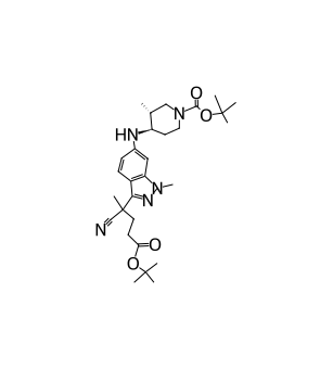 C[C@@H]1CN(C(=O)OC(C)(C)C)CC[C@H]1Nc1ccc2c(C(C)(C#N)CCC(=O)OC(C)(C)C)nn(C)c2c1